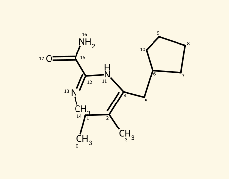 CC/C(C)=C(/CC1CCCC1)N/C(=N\C)C(N)=O